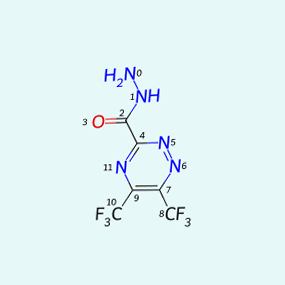 NNC(=O)c1nnc(C(F)(F)F)c(C(F)(F)F)n1